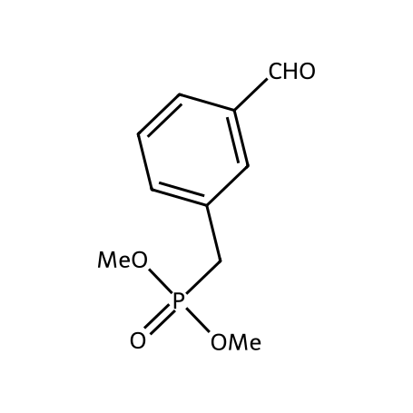 COP(=O)(Cc1cccc(C=O)c1)OC